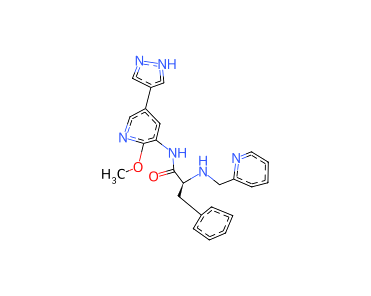 COc1ncc(-c2cn[nH]c2)cc1NC(=O)[C@H](Cc1ccccc1)NCc1ccccn1